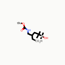 CC(C)(C)OC(=O)NCC(CC(=O)O)CC(C)(C)[Si](C)(C)O